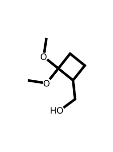 COC1(OC)CCC1CO